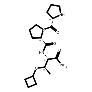 C[C@@H](OC1CCC1)[C@H](NC(=O)[C@@H]1CCCN1C(=O)[C@@H]1CCCN1)C(N)=O